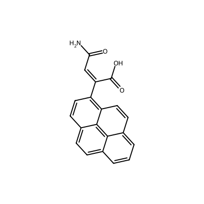 NC(=O)C=C(C(=O)O)c1ccc2ccc3cccc4ccc1c2c34